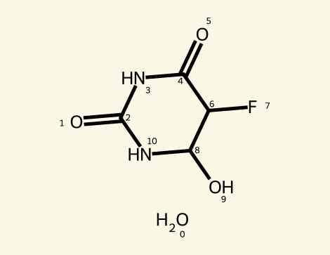 O.O=C1NC(=O)C(F)C(O)N1